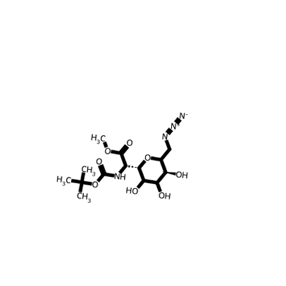 COC(=O)C(NC(=O)OC(C)(C)C)[C@@H]1OC(CN=[N+]=[N-])[C@@H](O)C(O)C1O